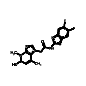 CC1=CC(O)N(C)c2ncn(CC(=O)Nc3nc4cc(F)c(F)cc4o3)c21